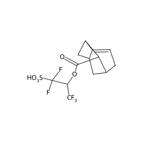 O=C(OC(C(F)(F)F)C(F)(F)S(=O)(=O)O)C1C2CC=C3C(C2)CC31